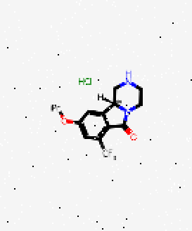 CC(C)Oc1cc2c(c(C(F)(F)F)c1)C(=O)N1CCNC[C@@H]21.Cl